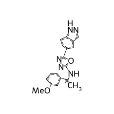 COc1cccc([C@@H](C)Nc2nnc(-c3ccc4[nH]ncc4c3)o2)c1